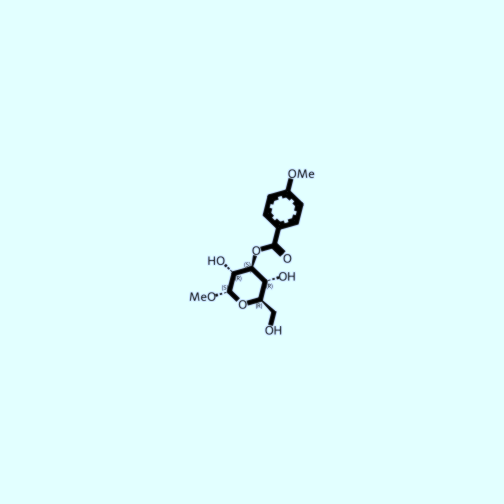 COc1ccc(C(=O)O[C@@H]2[C@@H](O)[C@@H](OC)O[C@H](CO)[C@H]2O)cc1